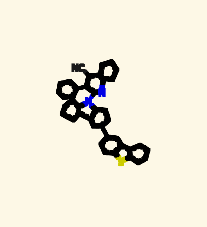 N#Cc1c(-c2ccccc2)c(-n2c3ccccc3c3cc(-c4ccc5sc6ccccc6c5c4)ccc32)nc2ccccc12